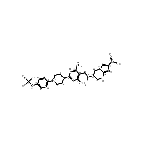 Cc1nc(N2CCN(c3ccc(OC(F)(F)F)cc3)CC2)nc(C)c1CN[C@@H]1COc2nc([N+](=O)[O-])cn2C1